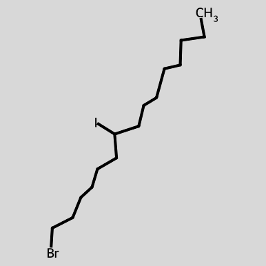 CCCCCCCCC(I)CCCCCCBr